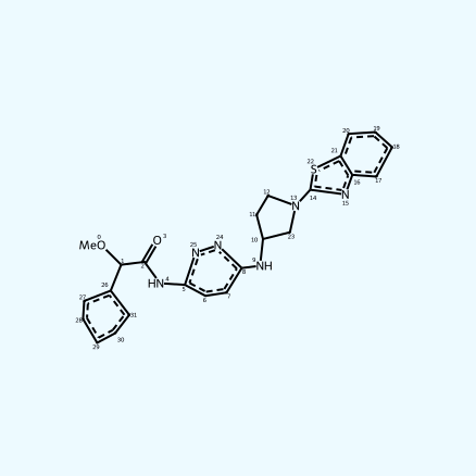 COC(C(=O)Nc1ccc(NC2CCN(c3nc4ccccc4s3)C2)nn1)c1ccccc1